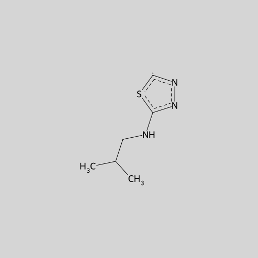 CC(C)CNc1nn[c]s1